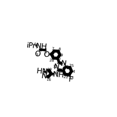 CC(C)NC(=O)COc1cccc(-c2nc(Nc3cn[nH]c3)c3cc(F)ccc3n2)c1